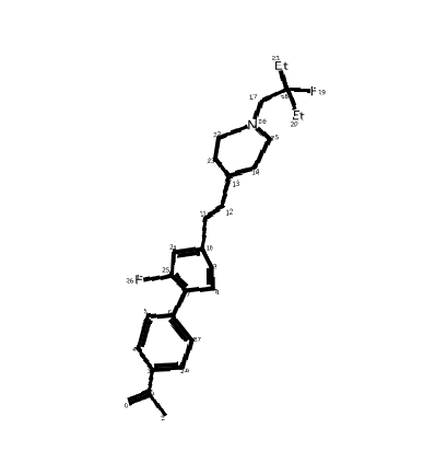 C=C(C)c1ccc(-c2ccc(CCC3CCN(CC(F)(CC)CC)CC3)cc2F)cc1